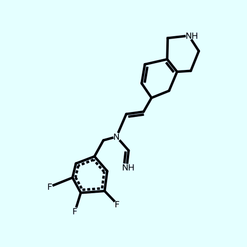 N=CN(/C=C/C1C=CC2=C(CCNC2)C1)Cc1cc(F)c(F)c(F)c1